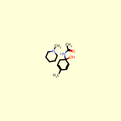 CC(=O)NC1(O)C=CC(C)=CC1.CN1CCCCC1